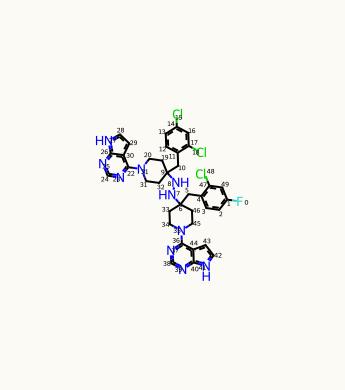 Fc1ccc(CC2(NNC3(Cc4ccc(Cl)cc4Cl)CCN(c4ncnc5[nH]ccc45)CC3)CCN(c3ncnc4[nH]ccc34)CC2)c(Cl)c1